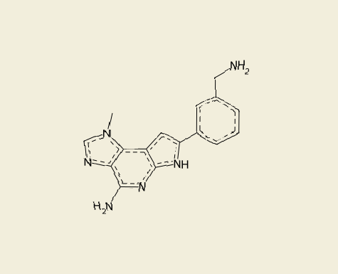 Cn1cnc2c(N)nc3[nH]c(-c4cccc(CN)c4)cc3c21